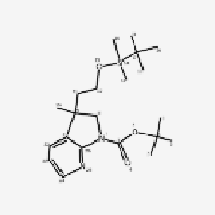 CC(C)(C)OC(=O)N1CC(C)(CCO[Si](C)(C)C(C)(C)C)c2cccnc21